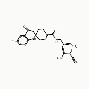 C#CC(F)/C(N)=C\C(=C/C)CNC(=O)N1CCC2(CC1)CC(=O)c1cc(F)ccc1N2